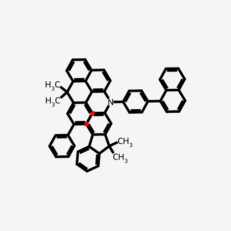 CC1(C)c2ccccc2-c2ccc(N(c3ccc(-c4cccc5ccccc45)cc3)c3ccc4cccc5c4c3-c3ccc(-c4ccccc4)cc3C5(C)C)cc21